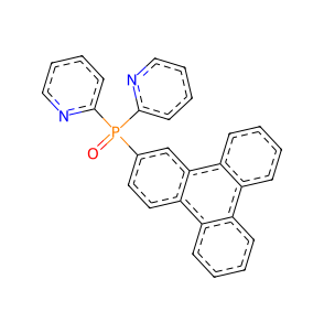 O=P(c1ccc2c3ccccc3c3ccccc3c2c1)(c1ccccn1)c1ccccn1